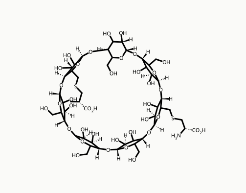 C[C@H](CSCC1O[C@@H]2O[C@@H]3C(CO)O[C@@H](O[C@@H]4C(CO)O[C@@H](O[C@@H]5C(CSC[C@@H](N)C(=O)O)O[C@@H](O[C@@H]6C(CO)O[C@H](O[C@@H]7C(CO)OC(O[C@@H]8C(CO)O[C@H](O[C@H]1[C@H](O)C2O)C(O)[C@H]8O)[C@@H](O)[C@H]7O)[C@@H](O)C6O)[C@@H](O)C5O)[C@@H](O)C4O)[C@@H](O)C3O)C(=O)O